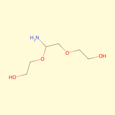 NC(COCCO)OCCO